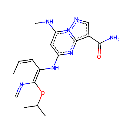 C=N/C(OC(C)C)=C(\C=C/C)Nc1cc(NC)n2ncc(C(N)=O)c2n1